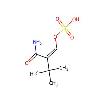 CC(C)(C)C(=COS(=O)(=O)O)C(N)=O